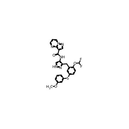 COc1cccc(Sc2ccc(OC(F)F)c(Cc3n[nH]cc3NC(=O)c3cnn4cccnc34)c2)c1